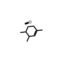 C=O.CC1=CC(C)C(C)CC1